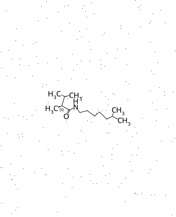 CC(C)CCCCCNC(=O)[C@@H](C)C(C)C